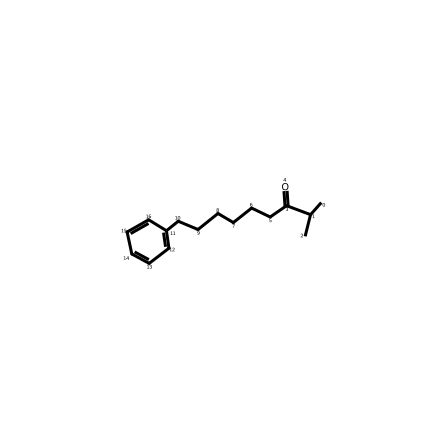 CC(C)C(=O)CCCCCCc1ccccc1